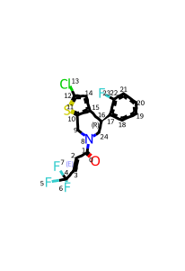 O=C(/C=C/C(F)(F)F)N1Cc2sc(Cl)cc2[C@@H](c2ccccc2F)C1